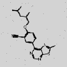 Cc1nc2c(-c3ccc(OCC(C)CC(C)C)c(C#N)c3)ncnc2s1